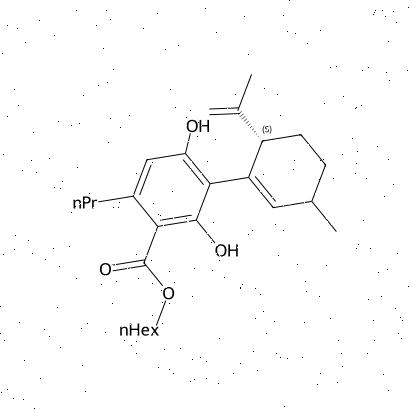 C=C(C)[C@@H]1CCC(C)C=C1c1c(O)cc(CCC)c(C(=O)OCCCCCC)c1O